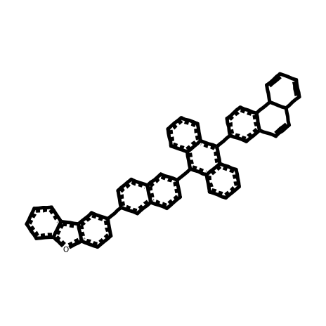 C1=CC2C=Cc3cc(-c4c5ccccc5c(-c5ccc6cc(-c7ccc8oc9ccccc9c8c7)ccc6c5)c5ccccc45)ccc3C2C=C1